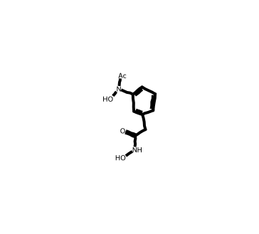 CC(=O)N(O)c1cccc(CC(=O)NO)c1